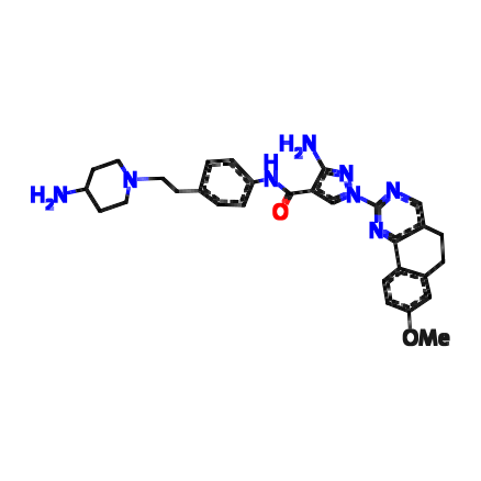 COc1ccc2c(c1)CCc1cnc(-n3cc(C(=O)Nc4ccc(CCN5CCC(N)CC5)cc4)c(N)n3)nc1-2